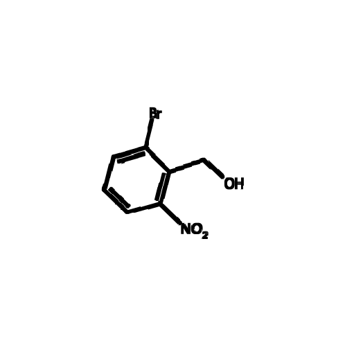 O=[N+]([O-])c1cccc(Br)c1CO